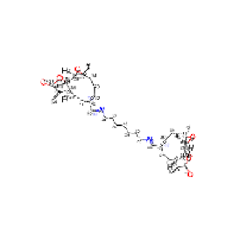 C=C1C(=O)O[C@H]2[C@H]1CCC(/C=N/CCCCCCC/N=C/C1=C/CC[C@@]3(C)O[C@H]3[C@H]3OC(=O)C(=C)[C@@H]3CC1)=C\CC[C@@]1(C)O[C@@H]21